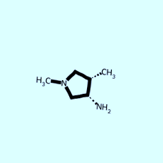 C[C@H]1CN(C)C[C@H]1N